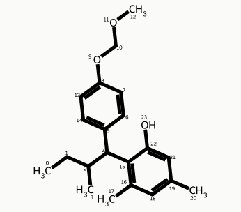 CCC(C)C(c1ccc(OCOC)cc1)c1c(C)cc(C)cc1O